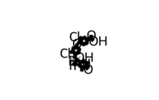 Cc1cc([C@](O)([C@H](C)c2ccc(Oc3ccc(C(=O)O)cc3Cl)cc2Cl)C(F)(F)F)cn(C)c1=O